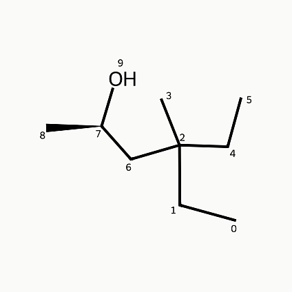 CCC(C)(CC)C[C@@H](C)O